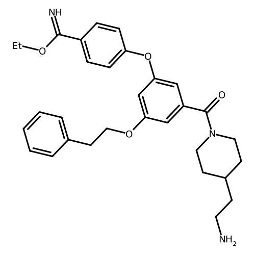 CCOC(=N)c1ccc(Oc2cc(OCCc3ccccc3)cc(C(=O)N3CCC(CCN)CC3)c2)cc1